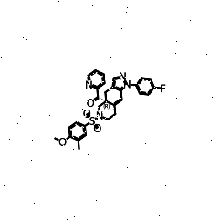 COc1ccc(S(=O)(=O)N2CCC3=Cc4c(cnn4-c4ccc(F)cc4)C[C@]3(C(=O)c3ccccn3)C2)cc1C